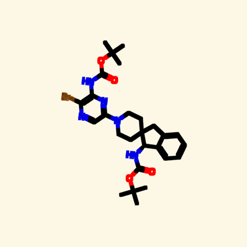 CC(C)(C)OC(=O)Nc1nc(N2CCC3(CC2)Cc2ccccc2[C@H]3NC(=O)OC(C)(C)C)cnc1Br